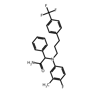 Cc1cc(N(CCCc2ccc(C(F)(F)F)cc2)C(C(N)=O)c2ccccc2)ccc1F